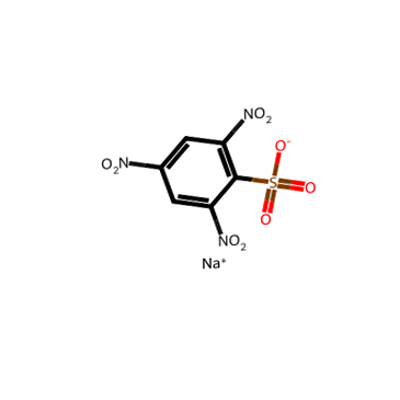 O=[N+]([O-])c1cc([N+](=O)[O-])c(S(=O)(=O)[O-])c([N+](=O)[O-])c1.[Na+]